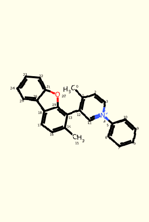 Cc1cc[n+](-c2ccccc2)cc1-c1c(C)ccc2c1oc1ccccc12